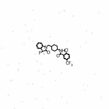 C[C@@]1(F)C(=O)N(CC2CCC(NC(=O)c3cc(C(F)(F)F)ccc3Cl)CC2)c2ccccc21